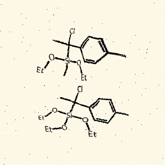 CCO[Si](C)(OCC)C(C)(Cl)c1ccc(C)cc1.CCO[Si](OCC)(OCC)C(C)(Cl)c1ccc(C)cc1